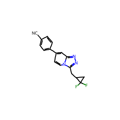 N#Cc1ccc(-c2ccn3c(CC4CC4(F)F)nnc3c2)cc1